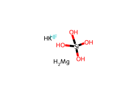 F.O[Si](O)(O)O.[KH].[MgH2]